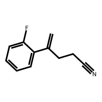 C=C(CCC#N)c1ccccc1F